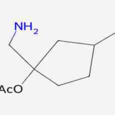 CC(=O)OC1(CN)CCC(C)C1